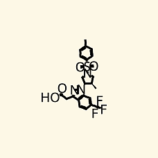 Cc1ccc(S(=O)(=O)N2C[C@@H](C)[C@@H](n3nc(CC(=O)O)c4ccc(C(F)(F)F)cc43)C2)cc1